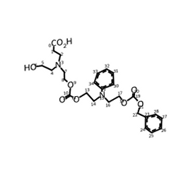 O=C(O)CCN(CCO)CCOC(=O)OCCN(CCOC(=O)OCc1ccccc1)c1ccccc1